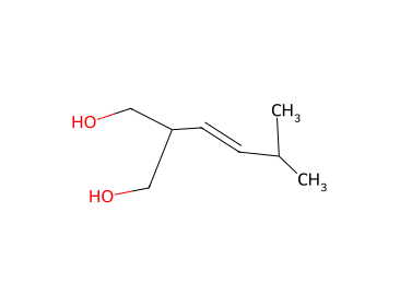 CC(C)C=CC(CO)CO